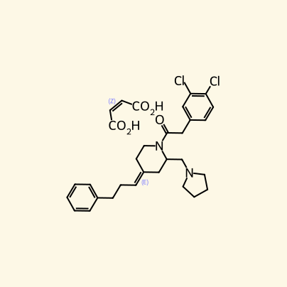 O=C(Cc1ccc(Cl)c(Cl)c1)N1CC/C(=C\CCc2ccccc2)CC1CN1CCCC1.O=C(O)/C=C\C(=O)O